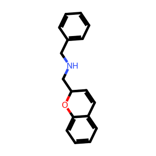 C1=CC(CNCc2ccccc2)Oc2ccccc21